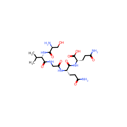 CC(C)[C@H](NC(=O)[C@@H](N)CO)C(=O)NCC(=O)N[C@@H](CCC(N)=O)C(=O)N[C@@H](CCC(N)=O)C(=O)O